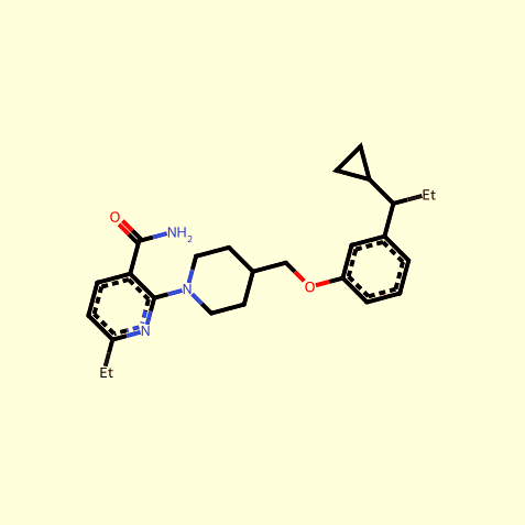 CCc1ccc(C(N)=O)c(N2CCC(COc3cccc(C(CC)C4CC4)c3)CC2)n1